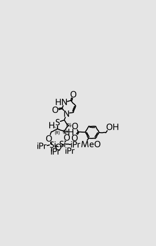 COc1cc(CO)ccc1C(=O)O[C@H]1C(n2ccc(=O)[nH]c2=O)S[C@@H]2CO[Si](C(C)C)(C(C)C)O[Si](C(C)C)(C(C)C)O[C@H]21